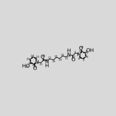 O=C(Cn1cccc(O)c1=O)NCCCCCCNC(=O)Cn1cccc(O)c1=O